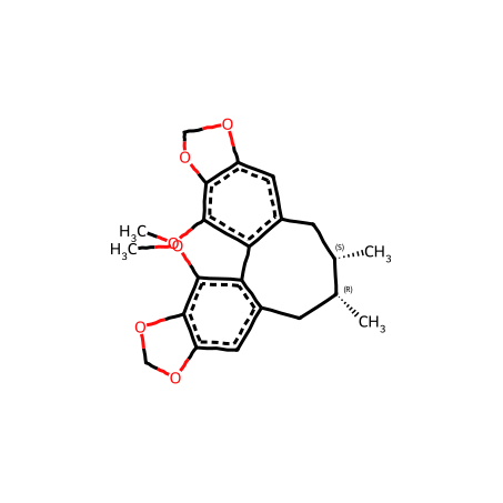 COc1c2c(cc3c1-c1c(cc4c(c1OC)OCO4)C[C@H](C)[C@H](C)C3)OCO2